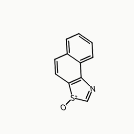 [O-][s+]1cnc2c3ccccc3ccc21